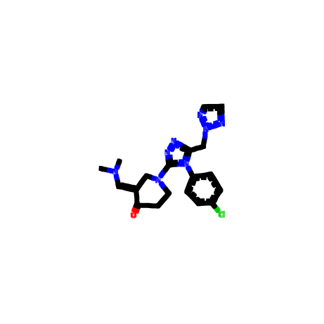 CN(C)/C=C1\CN(c2nnc(Cn3nccn3)n2-c2ccc(Cl)cc2)CCC1=O